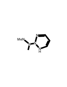 CNN(C)N1N=CC=CN1